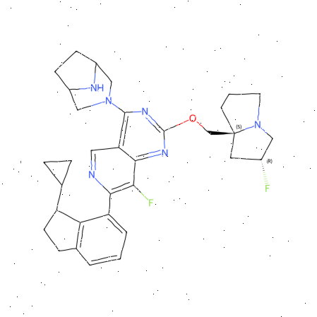 Fc1c(-c2cccc3c2C(C2CC2)CC3)ncc2c(N3CC4CCC(C3)N4)nc(OC[C@@]34CCCN3C[C@H](F)C4)nc12